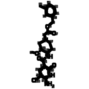 CO[C@@H]1CN(CC(=O)OCc2cccc(C)c2)CC[C@@H]1NC(=O)c1cc(Cl)c(N)[nH]c1=O